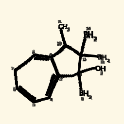 BC1(O)C2=CC=CCC=C2C(C)C1(B)B